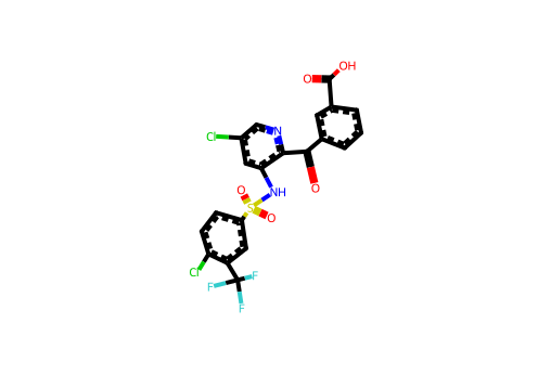 O=C(O)c1cccc(C(=O)c2ncc(Cl)cc2NS(=O)(=O)c2ccc(Cl)c(C(F)(F)F)c2)c1